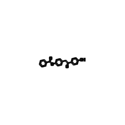 O=C(Cc1ccc(OC(=O)c2ccccc2)cc1)c1ccc(O)cc1